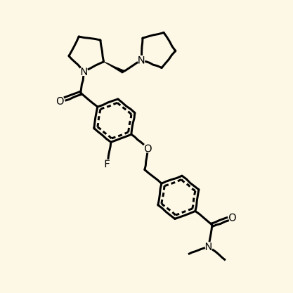 CN(C)C(=O)c1ccc(COc2ccc(C(=O)N3CCC[C@H]3CN3CCCC3)cc2F)cc1